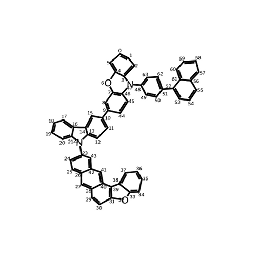 c1ccc2c(c1)Oc1cc(-c3ccc4c(c3)c3ccccc3n4-c3ccc4cc5ccc6oc7ccccc7c6c5cc4c3)ccc1N2c1ccc(-c2cccc3ccccc23)cc1